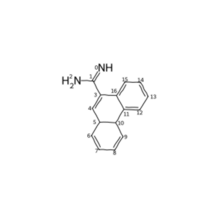 N=C(N)C1=CC2C=CC=CC2c2ccccc21